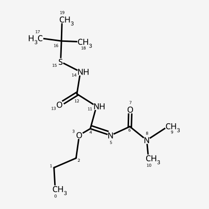 CCCOC(=NC(=O)N(C)C)NC(=O)NSC(C)(C)C